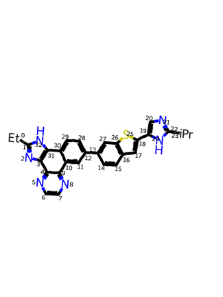 CCc1nc2c3nccnc3c3cc(-c4ccc5cc(-c6cnc(C(C)C)[nH]6)sc5c4)ccc3c2[nH]1